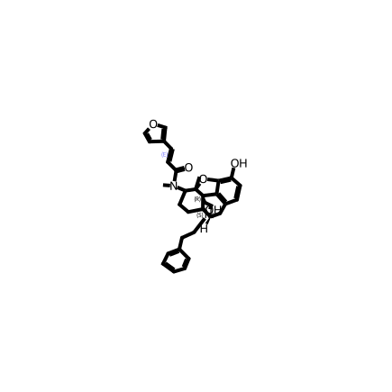 CN(C(=O)/C=C/c1ccoc1)C1CC[C@@]2(O)[C@H]3Cc4ccc(O)c5c4[C@@]2(CCN3CCc2ccccc2)C1(C)O5